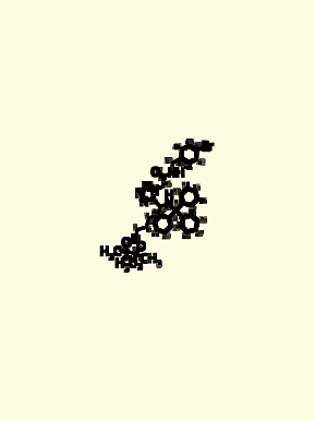 CC1(C)OB(CCCCC(NC(c2ccccc2)(c2ccccc2)c2ccccc2)c2nnnn2CC(=O)NCc2ccc(Br)cc2)OC1(C)C